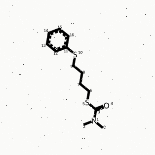 CN(C)C(=O)SCCCCSc1ccccc1